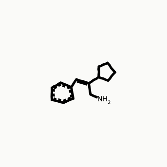 NCC(=Cc1ccccc1)C1CCCC1